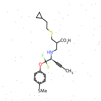 CC#C[C@H](NCC(CSCCC1CC1)C(=O)O)C(F)(F)Oc1ccc(SC)cc1